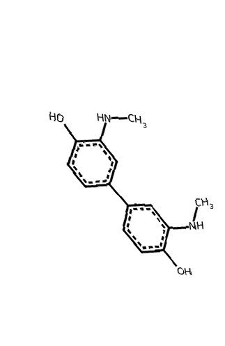 CNc1cc(-c2ccc(O)c(NC)c2)ccc1O